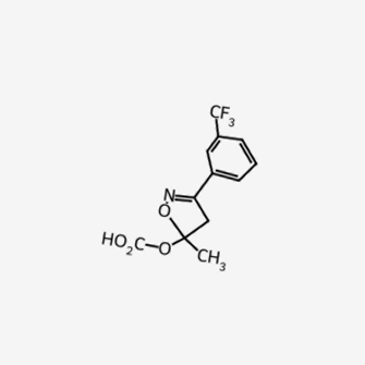 CC1(OC(=O)O)CC(c2cccc(C(F)(F)F)c2)=NO1